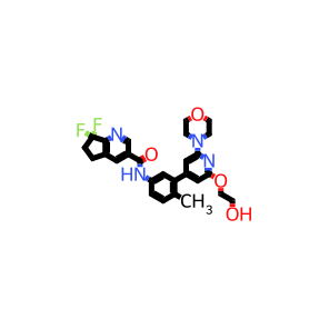 Cc1ccc(NC(=O)c2cnc3c(c2)CCC3(F)F)cc1-c1cc(OCCO)nc(N2CCOCC2)c1